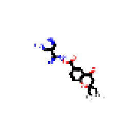 CCC1(CC)CC(=O)c2cc(C(=O)ONC(=N)/C(C=N)=C/N)ccc2O1